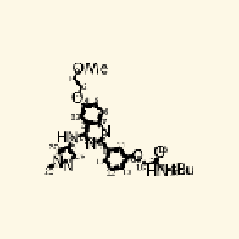 COCCOc1ccc2nc(-c3cccc(OCC(=O)NC(C)(C)C)c3)nc(Nc3cnn(C)c3)c2c1